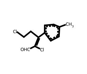 Cc1ccc(C(CCCl)=C(Cl)C=O)cc1